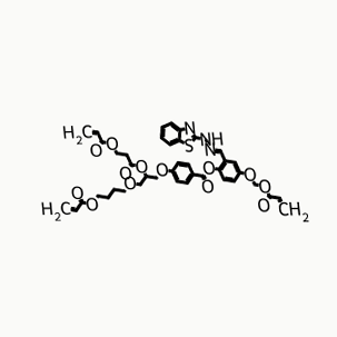 C=CC(=O)OCCCCOCC(COc1ccc(C(=O)Oc2ccc(OCOC(=O)C=C)cc2/C=N/Nc2nc3ccccc3s2)cc1)OC(=O)CCOC(=O)C=C